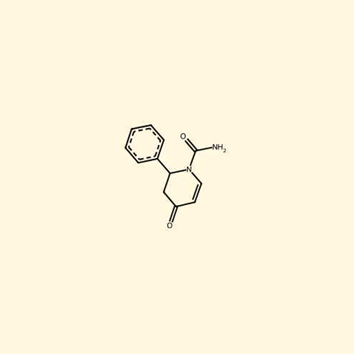 NC(=O)N1C=CC(=O)CC1c1ccccc1